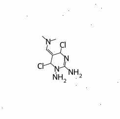 CN(C)C=C1C(Cl)N=C(N)N(N)C1Cl